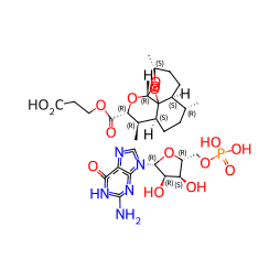 C[C@H]1[C@H](C(=O)OCCC(=O)O)O[C@@H]2O[C@]3(C)CC[C@H]4[C@H](C)CC[C@@H]1C24OO3.Nc1nc2c(ncn2[C@@H]2O[C@H](COP(=O)(O)O)[C@@H](O)[C@H]2O)c(=O)[nH]1